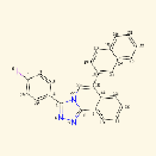 Ic1ccc(-c2nnc3c4ccccc4c(-c4ccc5ccccc5c4)cn23)cc1